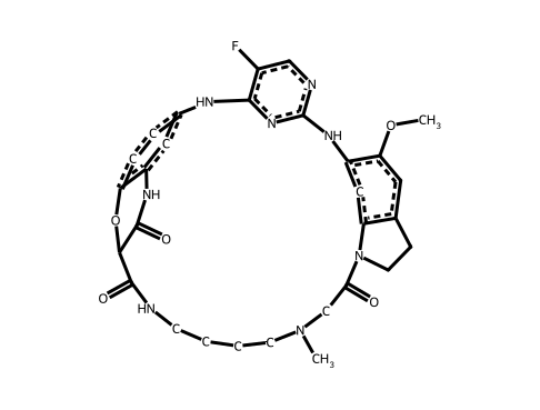 COc1cc2c3cc1Nc1ncc(F)c(n1)Nc1ccc4c(c1)NC(=O)C(O4)C(=O)NCCCCN(C)CC(=O)N3CC2